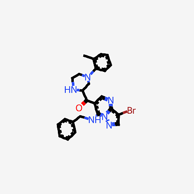 Cc1ccccc1N1CCNC(C(=O)c2cnc3c(Br)cnn3c2NCc2ccccc2)C1